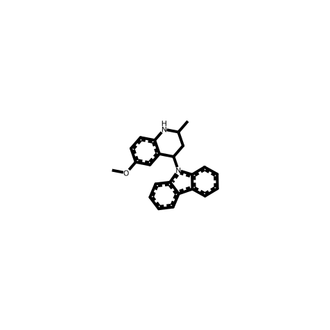 COc1ccc2c(c1)C(n1c3ccccc3c3ccccc31)CC(C)N2